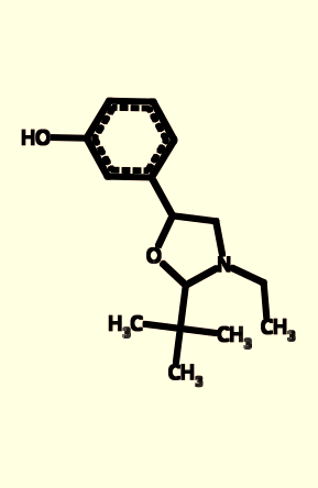 CCN1CC(c2cccc(O)c2)OC1C(C)(C)C